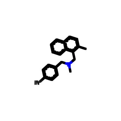 Cc1ccc2ccccc2c1CN(C)Cc1ccc(C(C)C)cc1